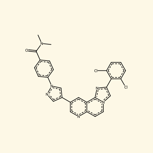 CN(C)C(=O)c1ccc(-n2cc(-c3cnc4ccn5cc(-c6c(Cl)cccc6Cl)nc5c4c3)cn2)cc1